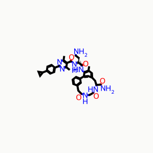 Cc1cc2cc(c1NC(=O)[C@H](CCN)NC(=O)c1c(C)nc(-c3ccc(C4CC4)cc3)nc1C)-c1cccc(c1)CC(=O)NCC(=O)NC(C(N)=O)C2